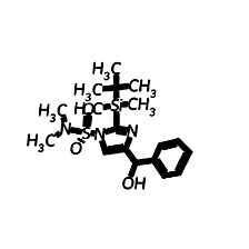 CN(C)S(=O)(=O)n1cc(C(O)c2ccccc2)nc1[Si](C)(C)C(C)(C)C